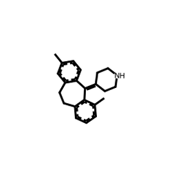 Cc1ccc2c(c1)CCc1cccc(C)c1C2=C1CCNCC1